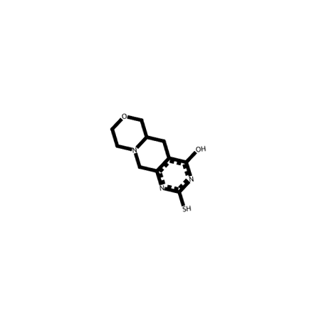 Oc1nc(S)nc2c1CC1COCCN1C2